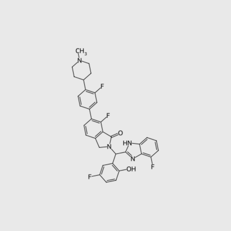 CN1CCC(c2ccc(-c3ccc4c(c3F)C(=O)N(C(c3nc5c(F)cccc5[nH]3)c3cc(F)ccc3O)C4)cc2F)CC1